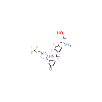 CC(C)(CO)C(N)Cc1ccc(C(=O)Nc2ccc(Cl)cc2N2CCN(CCC(F)(F)F)CC2)c(F)c1F